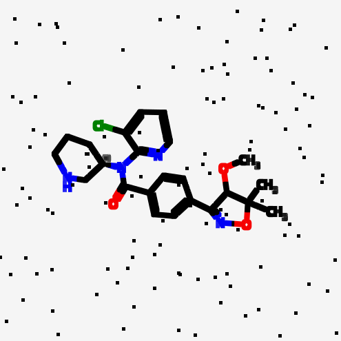 COC1C(c2ccc(C(=O)N(c3ncccc3Cl)[C@@H]3CCCNC3)cc2)=NOC1(C)C